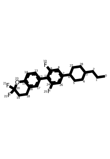 CCCC1CCC(c2cc(F)c(-c3ccc4c(c3)CCC(F)(F)O4)c(F)c2)CC1